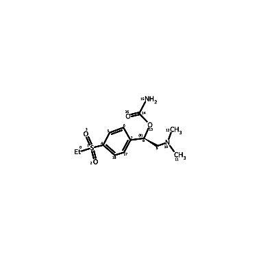 CCS(=O)(=O)c1ccc([C@H](CN(C)C)OC(N)=O)cc1